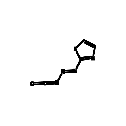 O=C=NN=Nc1nccs1